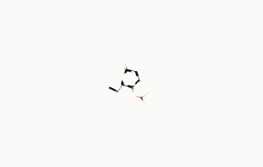 C=Cc1cc(F)ccc1OC(F)F